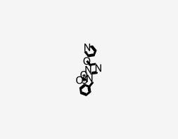 O=S1(=O)c2ccccc2CN1c1cncc(Oc2cccnc2)n1